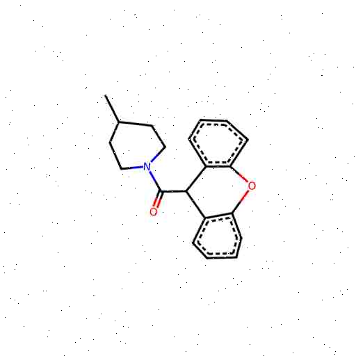 CC1CCN(C(=O)C2c3ccccc3Oc3ccccc32)CC1